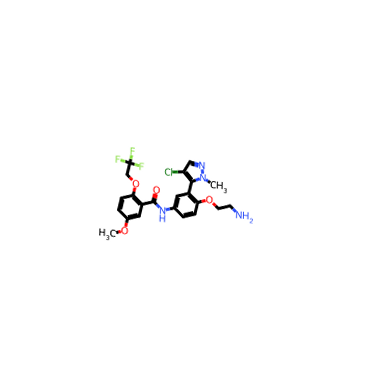 COc1ccc(OCC(F)(F)F)c(C(=O)Nc2ccc(OCCN)c(-c3c(Cl)cnn3C)c2)c1